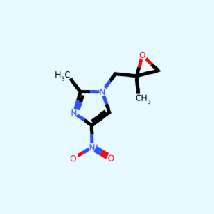 Cc1nc([N+](=O)[O-])cn1CC1(C)CO1